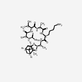 CCCCCCCCCC(=O)N[C@@H](CC)C(=O)N[C@H](C(=O)N[C@@H](C)C(=O)N[C@@H](CCCCN)C(=O)N[C@@H](C)B1O[C@@H]2C[C@@H]3C[C@@H](C3(C)C)[C@]2(C)O1)[C@@H](C)O